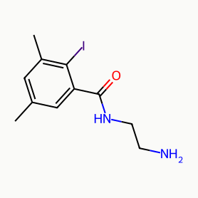 Cc1cc(C)c(I)c(C(=O)NCCN)c1